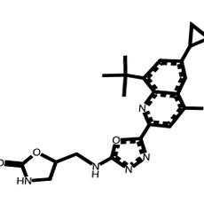 Cc1cc(-c2nnc(NCC3CNC(=O)O3)o2)nc2c(C(C)(C)C)cc(C3CC3)cc12